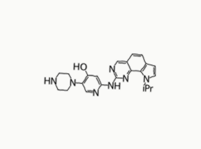 CC(C)n1ccc2ccc3cnc(Nc4cc(O)c(N5CCNCC5)cn4)nc3c21